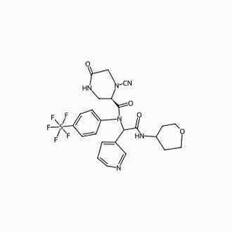 N#CN1CC(=O)NC[C@@H]1C(=O)N(c1ccc(S(F)(F)(F)(F)F)cc1)C(C(=O)NC1CCOCC1)c1cccnc1